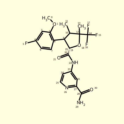 COc1cc(F)ccc1C1C(C)C(C)(C(F)(F)F)O[C@@H]1C(=O)Nc1ccnc(C(N)=O)c1